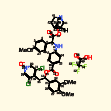 COc1ccc(C(Nc2ccc(C(=O)OC(Cc3c(Cl)c[n+]([O-])cc3Cl)c3ccc(OC)c(OC)c3)cc2)C(=O)O[C@H]2CN3CCC2CC3)cc1.O=C(O)C(F)(F)F